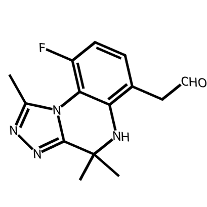 Cc1nnc2n1-c1c(F)ccc(CC=O)c1NC2(C)C